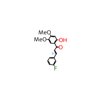 COc1cc(O)c(C(=O)/C=C/c2cccc(F)c2)cc1OC